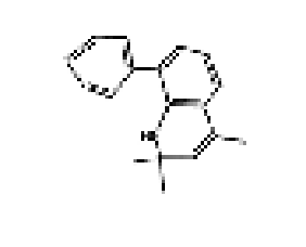 CC1=CC(C)(C)Nc2c1cccc2-c1ccccc1